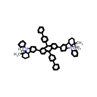 CC1(C)CCCC2c3cc(-c4ccc5c(-c6ccc(-c7ccccc7)cc6)c6cc(-c7ccc8c(c7)C7CCCC(C)(C)C7(C)N8c7ccccc7)ccc6c(-c6ccc(-c7ccccc7)cc6)c5c4)ccc3N(c3ccccc3)C21C